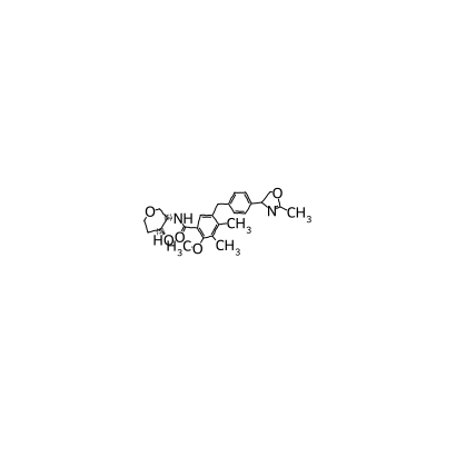 COc1c(C(=O)N[C@H]2COCC[C@@H]2O)cc(Cc2ccc(C3COC(C)=N3)cc2)c(C)c1C